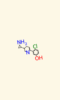 N[C@H]1C[C@@H]1C1C=NC(c2cc(O)ccc2Cl)=CC1